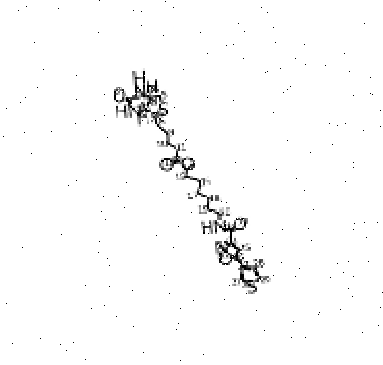 O=C1N[C@H]2[C@H](CS[C@H]2CCCCC(=O)OCCCCCCNC(=O)c2cc(-c3ccsc3)on2)N1